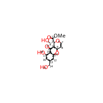 COC(=O)[C@@]1(CO)OC=Cc2oc3cc(CO)cc(O)c3c(=O)c21